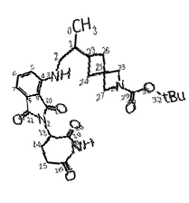 CC(CNc1cccc2c1C(=O)N(C1CCC(=O)NC1=O)C2=O)C1CC2(C1)CN(C(=O)OC(C)(C)C)C2